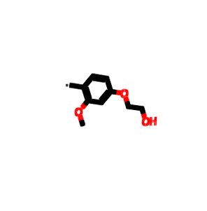 [CH2]c1ccc(OCCO)cc1OC